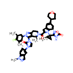 Cc1cc(-n2nc3c(c2-n2ccn(-c4ccc5c(cnn5C)c4)c2=O)[C@H](C)N(C(=O)c2cc4cc(C5CCOCC5)ccc4n2[C@@]2(c4noc(=O)[nH]4)C[C@@H]2C)CC3)cc(C)c1F